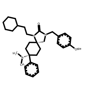 COc1ccc(CN2C[C@]3(CC[C@@](c4ccccc4)(N(C)C)CC3)N(CCC3CCCCC3)C2=O)cc1